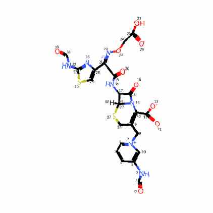 O=CNc1ccc[n+](CC2=C(C(=O)[O-])N3C(=O)C(NC(=O)/C(=N\OCC(=O)O)c4csc(NC=O)n4)[C@H]3SC2)c1